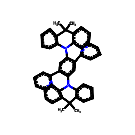 CC1(C)c2ccccc2N(c2cc(-c3ccccn3)c(N3c4ccccc4C(C)(C)c4ccccc43)cc2-c2ccccn2)c2ccccc21